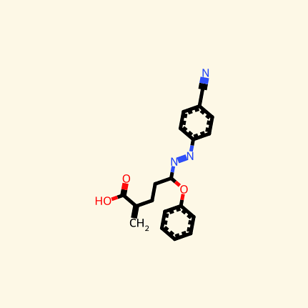 C=C(CCC(N=Nc1ccc(C#N)cc1)Oc1ccccc1)C(=O)O